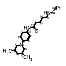 CC1CC(C)CN(C2C=CC(NC(=O)CCCCNSC(C)C)CC2)C1